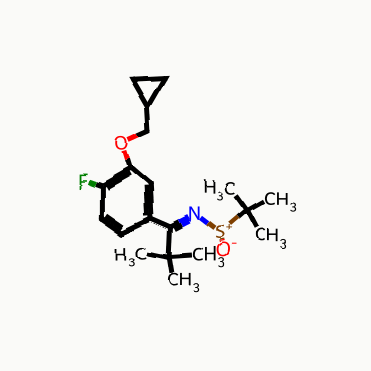 CC(C)(C)C(=N[S+]([O-])C(C)(C)C)c1ccc(F)c(OCC2CC2)c1